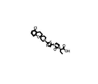 CCC(C(=O)O)n1ccn(-c2cnc(N3CCC4(CCc5c(Cl)cccc5O4)CC3)s2)c1=O